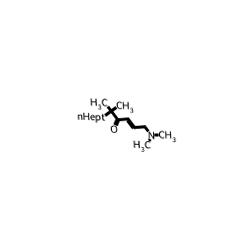 CCCCCCCC(C)(C)C(=O)/C=C/CN(C)C